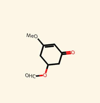 COC1=CC(=O)CC(OC=O)C1